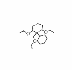 CCOCC1(C2CCCCC2)C(OCC)CCCC1OCC